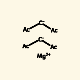 CC(=O)[CH-]C(C)=O.CC(=O)[CH-]C(C)=O.[Mg+2]